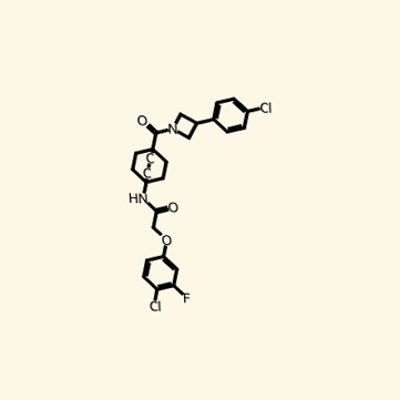 O=C(COc1ccc(Cl)c(F)c1)NC12CCC(C(=O)N3CC(c4ccc(Cl)cc4)C3)(CC1)CC2